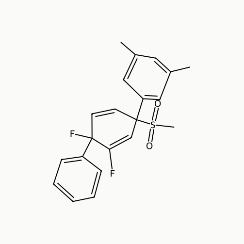 Cc1cc(C)cc(C2(S(C)(=O)=O)C=CC(F)(c3ccccc3)C(F)=C2)c1